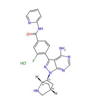 Cl.Nc1ncnc2c1c(-c1ccc(C(=O)Nc3ccccn3)cc1F)nn2[C@H]1C[C@@H]2CN[C@H]1C2